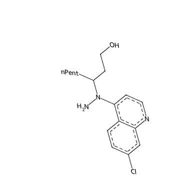 CCCCCC(CCO)N(N)c1ccnc2cc(Cl)ccc12